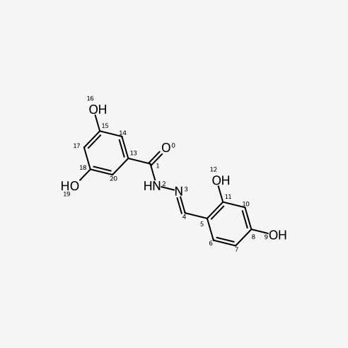 O=C(NN=Cc1ccc(O)cc1O)c1cc(O)cc(O)c1